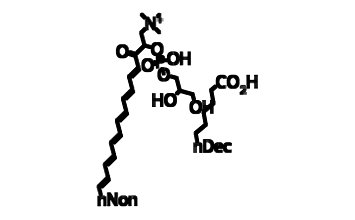 CCCCCCCCCC=CC=CC=CC=CC=CC=CC(=O)C(C[N+](C)(C)C)OP(=O)(O)OCC(O)CO.CCCCCCCCCCCCCCCC(=O)O